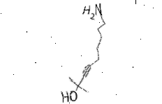 CC(C)(O)C#CCCCCCN